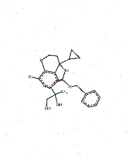 O=C(NC1(C2CC2)CCOc2c1cc(C(O)(CO)C(F)(F)F)nc2Cl)OCc1ccccc1